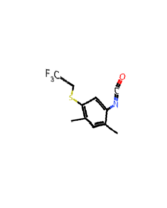 Cc1cc(C)c(SCC(F)(F)F)cc1N=C=O